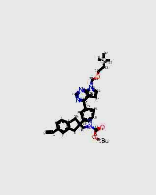 C=Cc1ccc2c(c1)CC(CNC(=O)OC(C)(C)C)(c1cccc(-c3ncnc4c3ccn4COCC[Si](C)(C)C)c1)C2